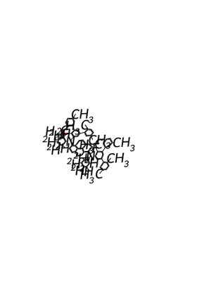 [2H]c1c([2H])c([2H])c(N(c2cc(-c3cc(C)ccc3C)cc(-c3cc(C)ccc3C)c2F)c2ccc3ccc4c(N(c5cc(-c6cc(C)ccc6C)cc(-c6cc(C)ccc6C)c5F)c5c([2H])c([2H])c([2H])c([2H])c5[2H])ccc5ccc2c3c54)c([2H])c1[2H]